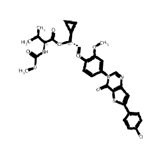 COC(=O)N[C@H](C(=O)O[C@@H](COc1ccc(-n2cnc3cc(-c4ccc(Cl)cc4)sc3c2=O)cc1OC)C1CC1)C(C)C